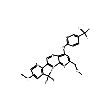 COCc1cc(Nc2ccc(C(F)(F)F)cn2)c2ncc(-c3ncc(OC)cc3C(F)(F)F)nc2n1